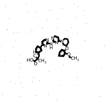 CCOc1ccccc1OC1CCCN(c2ccnc(Nc3nccc(-c4cccc(CC(C)(C)C(=O)O)c4)n3)n2)C1